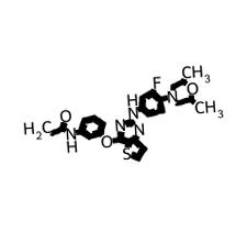 C=CC(=O)Nc1cccc(Oc2nc(Nc3ccc(N4CC(C)OC(C)C4)c(F)c3)nc3ccsc23)c1